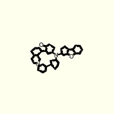 c1ccc(-c2cccc(N(c3ccc4c(c3)oc3ccccc34)c3ccc4oc5ccc6ccncc6c5c4c3)c2)cc1